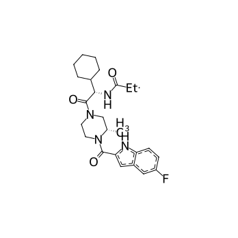 C[CH]C(=O)N[C@H](C(=O)N1CCN(C(=O)c2cc3cc(F)ccc3[nH]2)[C@@H](C)C1)C1CCCCC1